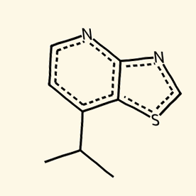 CC(C)c1ccnc2ncsc12